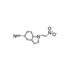 N#Cc1ccc2c(ccn2C=C[N+](=O)[O-])c1